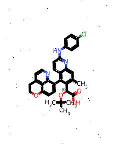 Cc1cc2nc(Nc3ccc(Cl)cc3)ccc2c(-c2ccc3c4c(ccnc24)CCO3)c1[C@H](OC(C)(C)C)C(=O)O